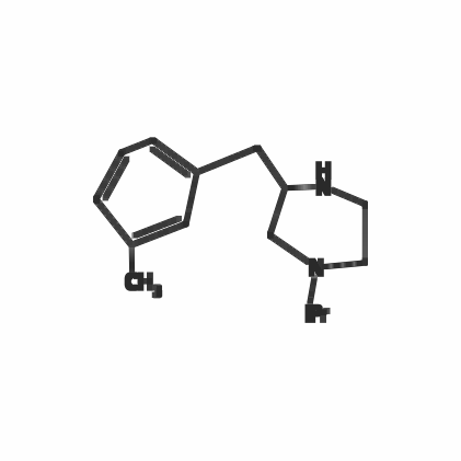 Cc1cccc(CC2CN(C(C)C)CCN2)c1